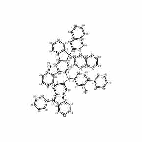 Fc1cc(N(c2ccc3c(c2)c2ccccc2n3-c2ccccc2)c2cc3c(c4oc5ccccc5c24)-c2ccccc2C3(c2ccc3ccccc3c2)c2ccc3ccccc3c2)ccc1-c1ccccc1